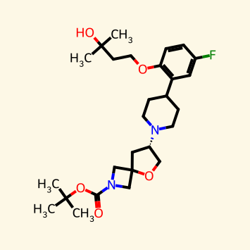 CC(C)(O)CCOc1ccc(F)cc1C1CCN([C@@H]2COC3(C2)CN(C(=O)OC(C)(C)C)C3)CC1